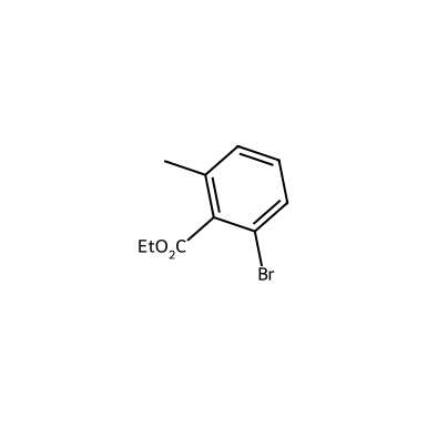 CCOC(=O)c1c(C)cccc1Br